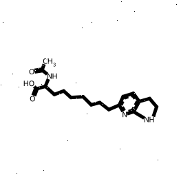 CC(=O)NC(CCCCCCCc1ccc2c(n1)NCCC2)C(=O)O